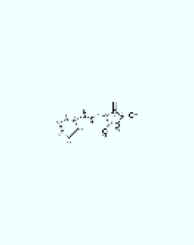 O=C1NC(CSSc2ccccc2)C(=O)O1